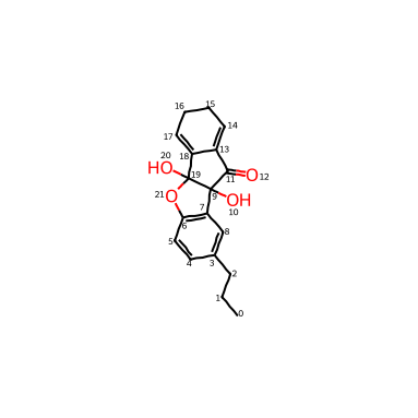 CCCc1ccc2c(c1)C1(O)C(=O)C3=CCCC=C3C1(O)O2